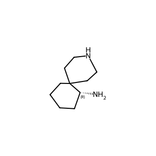 N[C@@H]1CCCCC12CCNCC2